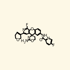 NC1=N[C@@]2(CCO1)c1cc(NC(=O)c3ccc(F)cn3)ccc1Oc1c2cc(C2=CCCOC2)nc1F